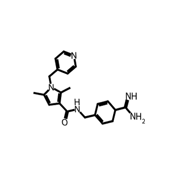 Cc1cc(C(=O)NCC2=CCC(C(=N)N)C=C2)c(C)n1Cc1ccncc1